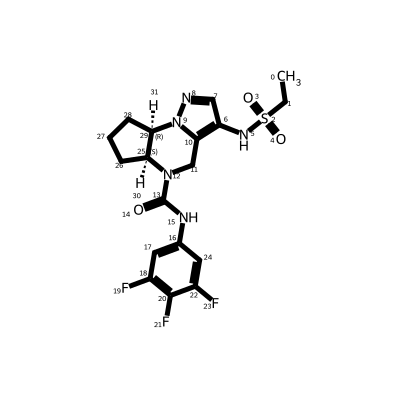 CCS(=O)(=O)Nc1cnn2c1CN(C(=O)Nc1cc(F)c(F)c(F)c1)[C@H]1CCC[C@H]12